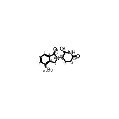 CC(C)(C)c1cccc2c1CN([C@@H]1CCC(=O)NC1=O)C2=O